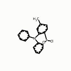 Cc1ccc(P(Cl)Cl)c(N(c2ccccc2)c2ccccc2)c1